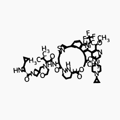 CO[C@@H](C)c1ncc(N2CCN(C3CC3)CC2)cc1-c1c2c3cc(ccc3n1CC(F)(F)F)-c1csc(n1)C[C@H](NC(=O)C(C(C)C)N1CCOC3(CN(C(=O)[C@@H]4NC4C4CC4)C3)C1)C(=O)N1CCC[C@H](N1)C(=O)OCC(C)(C)C2